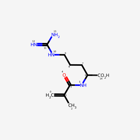 C=C(C)C(=O)NC(CCCNC(=N)N)C(=O)O